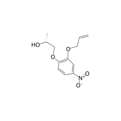 C=CCOc1cc([N+](=O)[O-])ccc1OC[C@@H](C)O